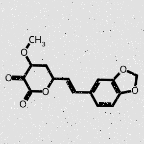 COC1CC(C=Cc2ccc3c(c2)OCO3)OC(=O)C1=O